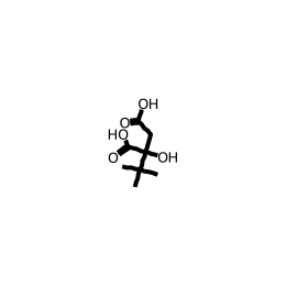 CC(C)(C)C(O)(CC(=O)O)C(=O)O